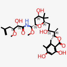 C=C(C)C[C@H](OC)[C@H](O)C(=O)NC(OC)[C@@H]1C[C@@H](O)C(C)(C)[C@@H](C[C@H](O)[C@@H](C)[C@H]2Cc3c(C)c(O)cc(O)c3C(=O)O2)O1